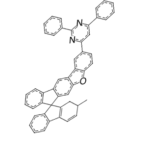 CC1C=CC2=C(C1)C1(c3ccccc32)c2ccccc2-c2cc3c(cc21)oc1ccc(-c2cc(-c4ccccc4)nc(-c4ccccc4)n2)cc13